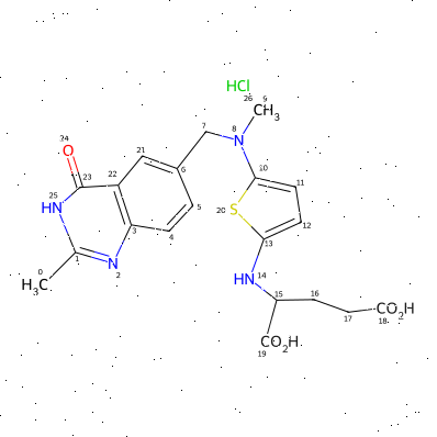 Cc1nc2ccc(CN(C)c3ccc(NC(CCC(=O)O)C(=O)O)s3)cc2c(=O)[nH]1.Cl